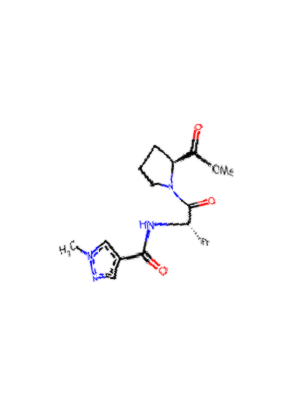 COC(=O)[C@@H]1CCCN1C(=O)[C@@H](NC(=O)c1cnn(C)c1)C(C)C